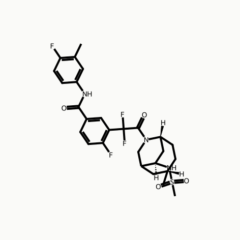 Cc1cc(NC(=O)c2ccc(F)c(C(F)(F)C(=O)N3CC4C[C@@H](C)CC[C@@H]3C[C@H]4NS(C)(=O)=O)c2)ccc1F